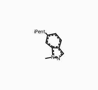 CCCC(C)c1ccc2cnn(C)c2c1